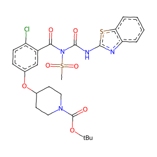 CC(C)(C)OC(=O)N1CCC(Oc2ccc(Cl)c(C(=O)N(C(=O)Nc3nc4ccccc4s3)S(C)(=O)=O)c2)CC1